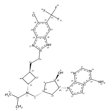 CC(C)N(C[C@@H]1C[C@@H](O)[C@H](n2ccc3c(N)ncnc32)C1)[C@H]1C[C@H](CCc2nc3cc(Cl)c(C(F)(F)F)cc3[nH]2)C1